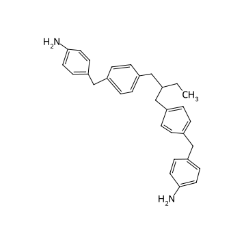 CCC(Cc1ccc(Cc2ccc(N)cc2)cc1)Cc1ccc(Cc2ccc(N)cc2)cc1